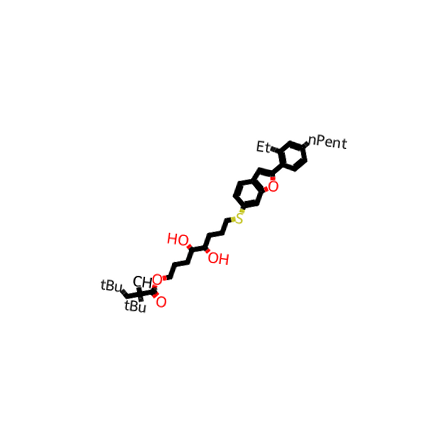 CCCCCc1ccc(-c2cc3ccc(SCCCC(O)C(O)CCCOC(=O)C(C)(CC(C)(C)C)C(C)(C)C)cc3o2)c(CC)c1